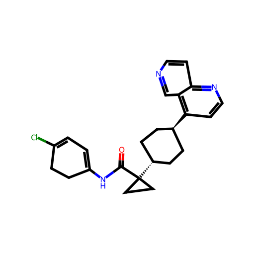 O=C(NC1=CC=C(Cl)CC1)C1([C@H]2CC[C@H](c3ccnc4ccncc43)CC2)CC1